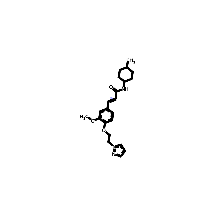 COc1cc(/C=C/C(=O)NC2CCC(C)CC2)ccc1OCCn1cccn1